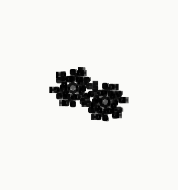 O=P(O)(O)O[C@H]1[C@H](OP(=O)(O)O)[C@@H](OP(=O)(O)O)[C@H](OP(=O)(O)O)[C@@H](OP(=O)(O)O)[C@H]1OP(=O)(O)O.O=P([O-])(O)O[C@@H]1[C@@H](OP(=O)(O)O)[C@H](OP(=O)(O)O)[C@@H](OP(=O)(O)O)[C@H](OP(=O)(O)O)[C@@H]1OP(=O)(O)O.[K+]